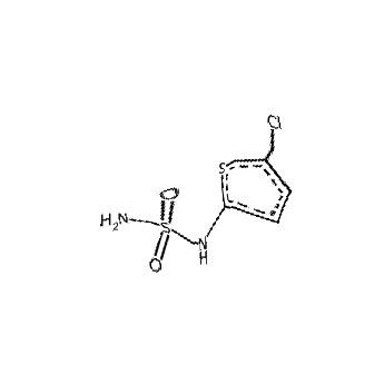 NS(=O)(=O)Nc1ccc(Cl)s1